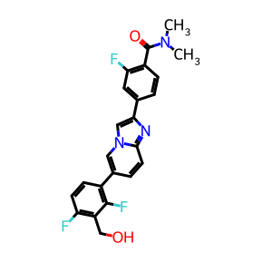 CN(C)C(=O)c1ccc(-c2cn3cc(-c4ccc(F)c(CO)c4F)ccc3n2)cc1F